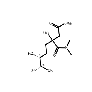 COC(=O)CC(O)(CC[C@@H](O)[C@H](O)C(C)C)C(=O)N(C)C